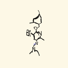 CCN(C)/C=N/c1cc(Br)c(OCc2ccc(C)cc2C)nc1C